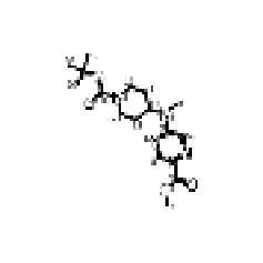 COC(=O)c1cnc(N(C)C2CCN(C(=O)OC(C)(C)C)CC2)cn1